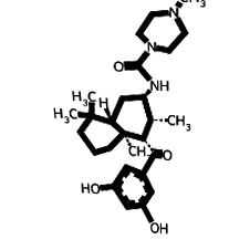 C[C@H]1[C@H](NC(=O)N2CCN(C)CC2)C[C@H]2C(C)(C)CCC[C@]2(C)[C@H]1C(=O)c1cc(O)cc(O)c1